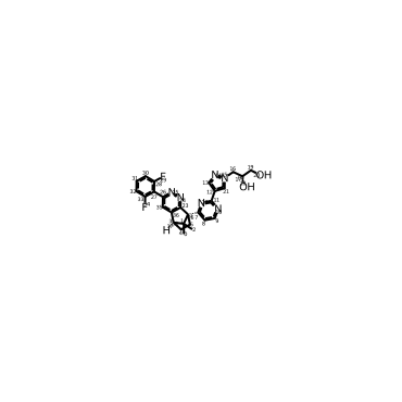 CC1(C)[C@H]2CC[C@]1(c1ccnc(-c3cnn(C[C@H](O)CO)c3)n1)c1nnc(-c3c(F)cccc3F)cc12